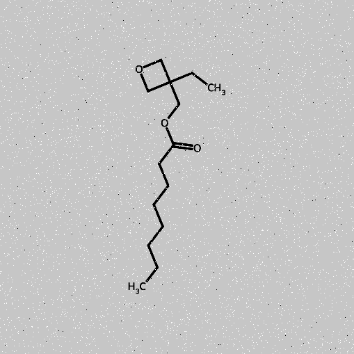 CCCCCCCC(=O)OCC1(CC)COC1